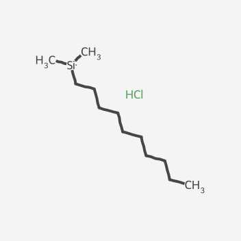 CCCCCCCCCC[Si](C)C.Cl